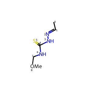 CC=NNC(=S)NCOC